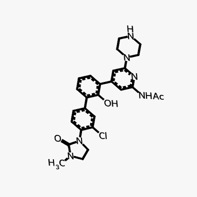 CC(=O)Nc1cc(-c2cccc(-c3ccc(N4CCN(C)C4=O)c(Cl)c3)c2O)cc(N2CCNCC2)n1